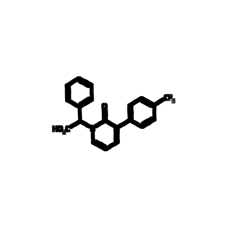 O=C(O)C(c1ccccc1)n1cccc(-c2ccc(C(F)(F)F)cc2)c1=O